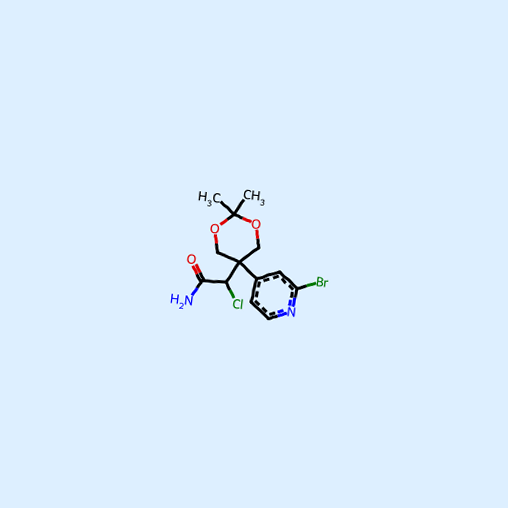 CC1(C)OCC(c2ccnc(Br)c2)(C(Cl)C(N)=O)CO1